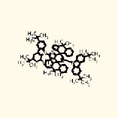 CC1CC(C(C)(C)C)=Cc2c1n(-c1cc3c(s1)C1(c4ccccc4C(C)(C)c4ccccc41)c1cc(-n4c5ccc(C(C)(C)C)cc5c5cc(C(C)(C)C)ccc54)sc1C31c3ccccc3C(C)(C)c3ccccc31)c1ccc(C(C)(C)C)cc21